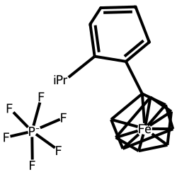 CC(C)c1ccccc1[C]12[CH]3[CH]4[CH]5[CH]1[Fe]45321678[CH]2[CH]1[CH]6[CH]7[CH]28.F[P-](F)(F)(F)(F)F